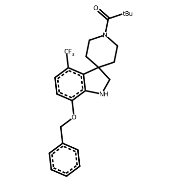 CC(C)(C)C(=O)N1CCC2(CC1)CNc1c(OCc3ccccc3)ccc(C(F)(F)F)c12